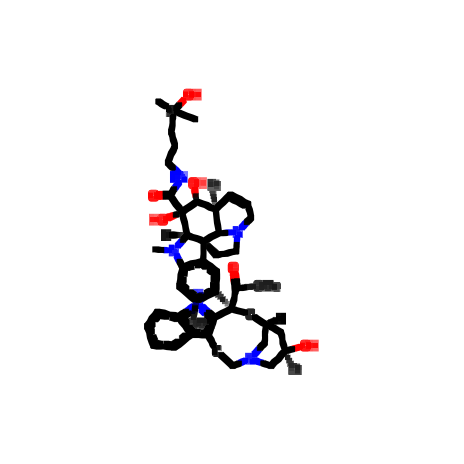 CC[C@@]1(O)C[C@@H]2CN(CCc3c([nH]c4ccccc34)[C@](C(=O)OC)(c3cc4c(cc3OC)N(C)[C@@H]3[C@](O)(C(=O)NCCC[Si](C)(C)O)[C@@H](O)[C@@]5(CC)C=CCN6CC[C@@]43C65)C2)C1